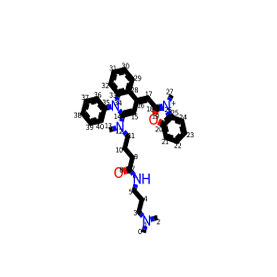 CN(C)CCCNC(=O)CCCN(C)C1=C/C(=C\c2oc3ccccc3[n+]2C)c2ccccc2N1c1ccccc1